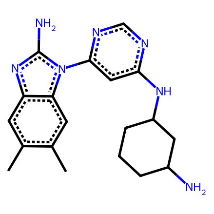 Cc1cc2nc(N)n(-c3cc(NC4CCCC(N)C4)ncn3)c2cc1C